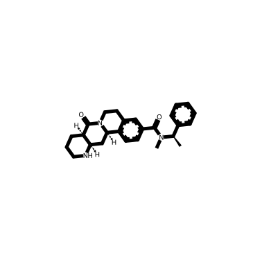 C[C@H](c1ccccc1)N(C)C(=O)c1ccc2c(c1)CCN1C(=O)[C@@H]3CCCN[C@@H]3C[C@H]21